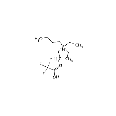 CCCC[PH](CC)(CC)CC.O=C(O)C(F)(F)F